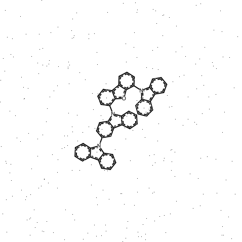 c1cc(-n2c3ccccc3c3ccccc32)c2oc3c(-n4c5ccccc5c5cc(-n6c7ccccc7c7ccccc76)ccc54)cccc3c2c1